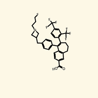 O=C(O)c1ccc2c(c1)CCCC(c1ccc(C(F)(F)F)cc1C(F)(F)F)=C2c1ccc(CC2CN(CCCF)C2)cc1